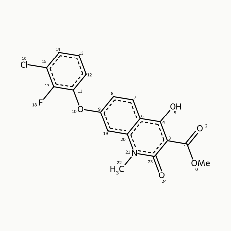 COC(=O)c1c(O)c2ccc(Oc3cccc(Cl)c3F)cc2n(C)c1=O